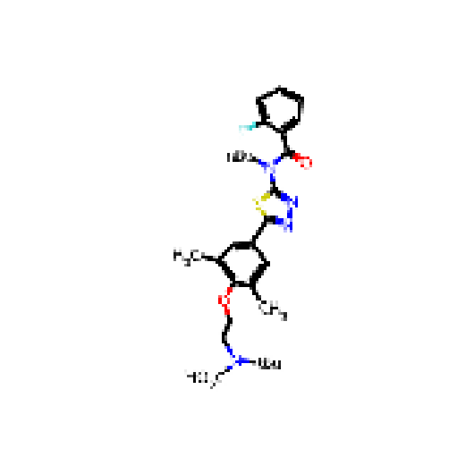 CCCCN(C(=O)c1ccccc1F)c1nnc(-c2cc(C)c(OCCN(C(=O)O)C(C)(C)C)c(C)c2)s1